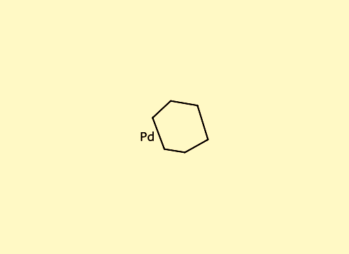 C1CCCCC1.[Pd]